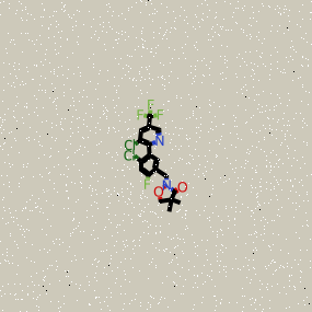 CC1(C)CON(Cc2cc(-c3ncc(C(F)(F)F)cc3Cl)c(Cl)cc2F)C1=O